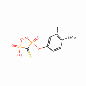 CSc1ccc(OP(=O)(O)C(=S)P(=O)(O)O)cc1C